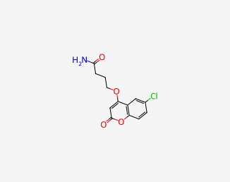 NC(=O)CCCOc1cc(=O)oc2ccc(Cl)cc12